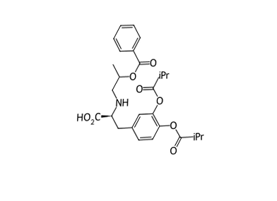 CC(CN[C@@H](Cc1ccc(OC(=O)C(C)C)c(OC(=O)C(C)C)c1)C(=O)O)OC(=O)c1ccccc1